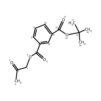 CC(=O)COC(=O)c1cccc(C(=O)OC(C)(C)C)c1